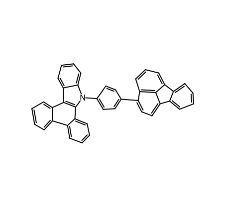 c1ccc2c(c1)-c1cccc3c(-c4ccc(-n5c6ccccc6c6c7ccccc7c7ccccc7c65)cc4)ccc-2c13